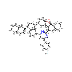 Fc1ccc(-c2cc(-c3ccc(F)cc3)nc(-c3cc4ccccc4c4oc5ccc(-c6ccc(-c7ccc8ccccc8c7)cc6)cc5c34)n2)cc1